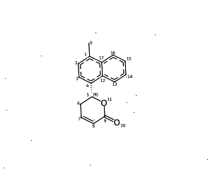 Cc1ccc([C@H]2CC=CC(=O)O2)c2ccccc12